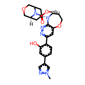 Cn1cc(-c2ccc(-c3cc4c(nn3)N([C@H]3CC5COC[C@H](C3)N5C(=O)OC(C)(C)C)CCCO4)c(O)c2)cn1